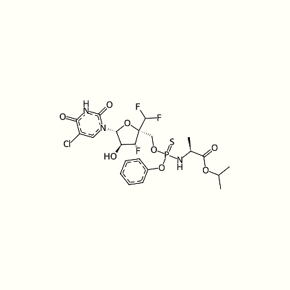 CC(C)OC(=O)[C@H](C)NP(=S)(OC[C@@]1(C(F)F)O[C@@H](n2cc(Cl)c(=O)[nH]c2=O)[C@H](O)[C@H]1F)Oc1ccccc1